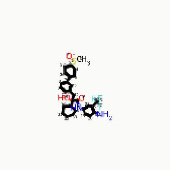 C[S+]([O-])c1ccc(-c2cccc(CC(O)(C(=O)Nc3ccc(N)c(C(F)(F)F)c3)C3CCCCC3)c2)cc1